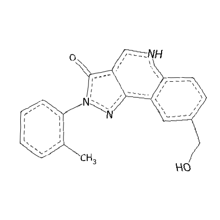 Cc1ccccc1-n1nc2c3cc(CO)ccc3[nH]cc-2c1=O